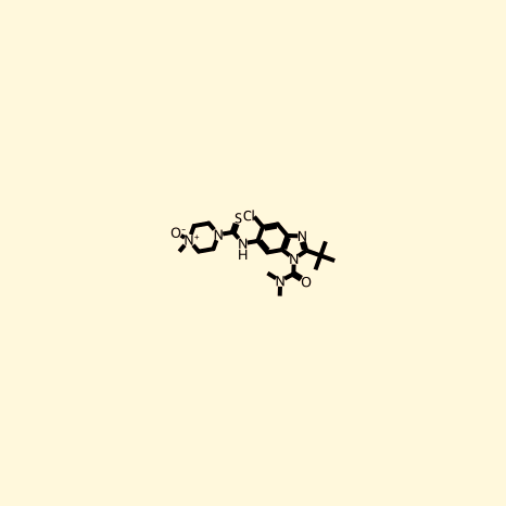 CN(C)C(=O)n1c(C(C)(C)C)nc2cc(Cl)c(NC(=S)N3CC[N+](C)([O-])CC3)cc21